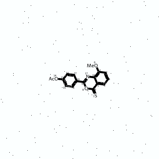 COc1cccc2c(=S)oc(-c3ccc(OC(C)=O)cc3)nc12